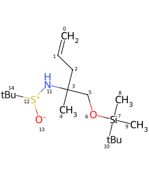 C=CCC(C)(CO[Si](C)(C)C(C)(C)C)N[S+]([O-])C(C)(C)C